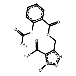 CC(=O)Oc1ccccc1C(=O)OCc1no[n+]([O-])c1C(N)=O